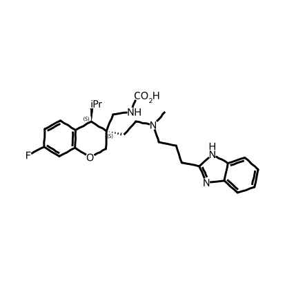 CC(C)[C@@H]1c2ccc(F)cc2OC[C@]1(CCN(C)CCCc1nc2ccccc2[nH]1)CNC(=O)O